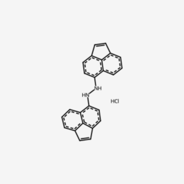 C1=Cc2ccc(NNc3ccc4c5c(cccc35)C=C4)c3cccc1c23.Cl